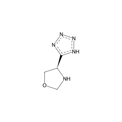 C1N[C@H](c2nnn[nH]2)CO1